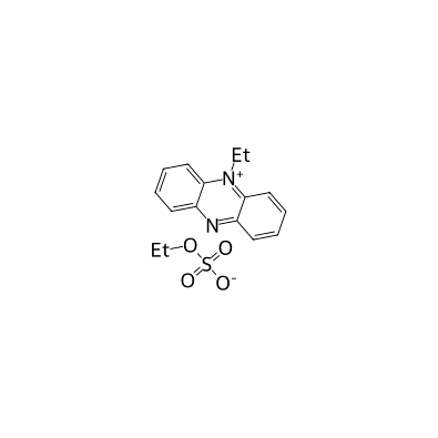 CCOS(=O)(=O)[O-].CC[n+]1c2ccccc2nc2ccccc21